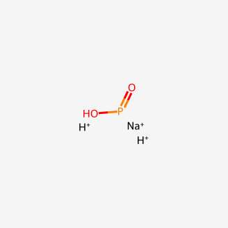 O=PO.[H+].[H+].[Na+]